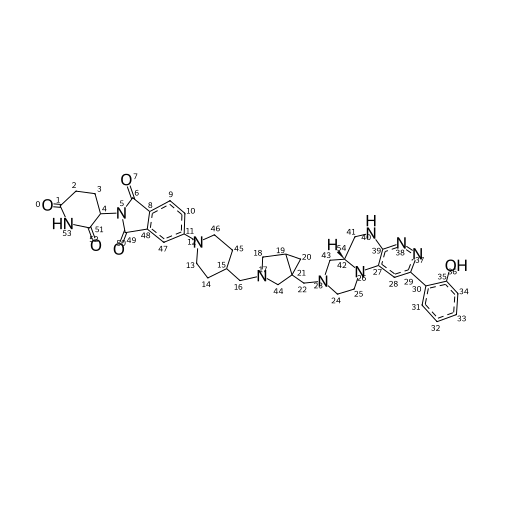 O=C1CCC(N2C(=O)c3ccc(N4CCC(CN5CC6CC6(CN6CCN7c8cc(-c9ccccc9O)nnc8NC[C@H]7C6)C5)CC4)cc3C2=O)C(=O)N1